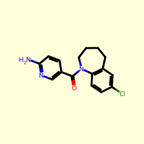 Nc1ccc(C(=O)N2CCCCc3cc(Cl)ccc32)cn1